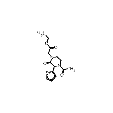 CCOC(=O)CN1CCN(C(C)=O)C(c2cccs2)C1=O